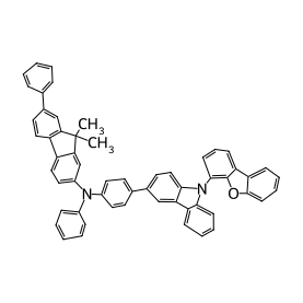 CC1(C)c2cc(-c3ccccc3)ccc2-c2ccc(N(c3ccccc3)c3ccc(-c4ccc5c(c4)c4ccccc4n5-c4cccc5c4oc4ccccc45)cc3)cc21